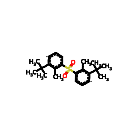 Cc1c(C(C)(C)C)[c]ccc1S(=O)(=O)c1cc[c]c(C(C)(C)C)c1C